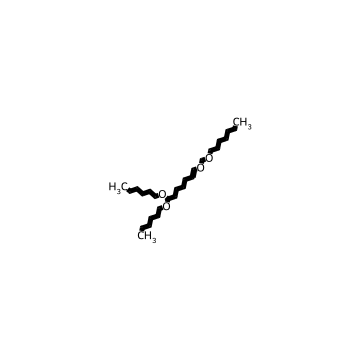 CCCCCCCOCOC=CCCCCC(OCCCCCC)OCCCCCC